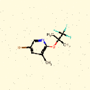 Cc1cc(Br)cnc1OC(C)(C)C(F)(F)F